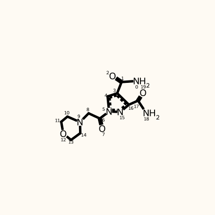 NC(=O)c1cn(C(=O)CN2CCOCC2)nc1C(N)=O